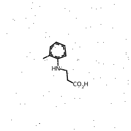 Cc1ccccc1NCCC(=O)O